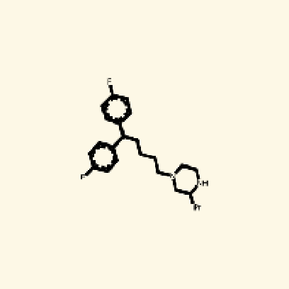 CC(C)C1CN(CCCCC(c2ccc(F)cc2)c2ccc(F)cc2)CCN1